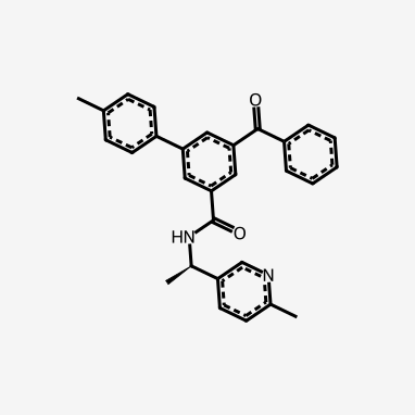 Cc1ccc(-c2cc(C(=O)N[C@H](C)c3ccc(C)nc3)cc(C(=O)c3ccccc3)c2)cc1